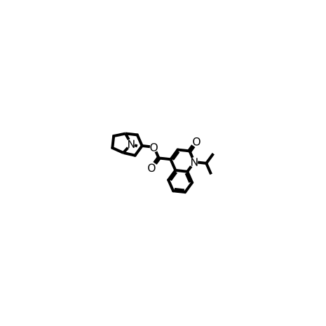 CC(C)n1c(=O)cc(C(=O)OC2CC3CCC(C2)N3C)c2ccccc21